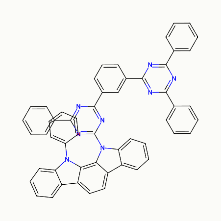 c1ccc(-c2nc(-c3ccccc3)nc(-c3cccc(-c4nc(-c5ccccc5)nc(-n5c6ccccc6c6ccc7c8ccccc8n(-c8ccccc8)c7c65)n4)c3)n2)cc1